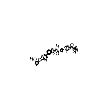 Cc1nc(C)c(C(=O)N2CCN([C@H]3C[C@@H](C(=O)Nc4nc5ccc(-c6cnc(CO[C@H]7CCC[C@@H]7O)nc6)cc5s4)C3)[C@@H](C)C2)s1